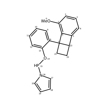 COc1cccc2c1C1(c3ccccc3OPn3cccc3)CCC21